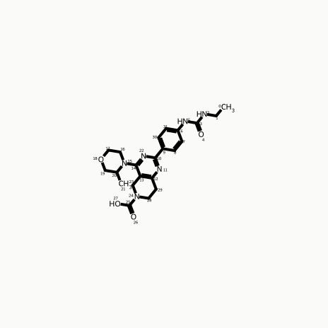 CCNC(=O)Nc1ccc(-c2nc3c(c(N4CCOCC4C)n2)CN(C(=O)O)CC3)cc1